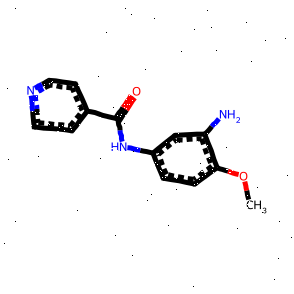 COc1ccc(NC(=O)c2ccncc2)cc1N